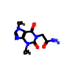 Cn1cnc2c1c(=O)n(CC(N)=O)c(=O)n2C